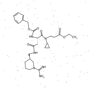 CCOC(=O)CCN(C(=O)[C@H](CC(=O)NC[C@@H]1CCCN(C(=N)N)C1)NC(=O)OCc1ccccc1)C1CC1